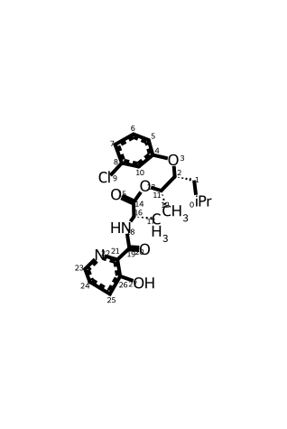 CC(C)C[C@@H](Oc1cccc(Cl)c1)[C@H](C)OC(=O)[C@H](C)NC(=O)c1ncccc1O